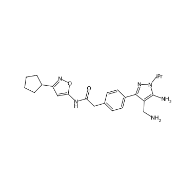 CC(C)n1nc(-c2ccc(CC(=O)Nc3cc(C4CCCC4)no3)cc2)c(CN)c1N